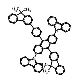 CC1(C)c2ccccc2-c2cc(-c3ccc(-c4c5ccc(-n6c7ccccc7c7ccccc76)cc5c(-c5ccc6c(c5)C(C)(C)c5ccccc5-6)c5ccc(-n6c7ccccc7c7ccccc76)cc45)cc3)ccc21